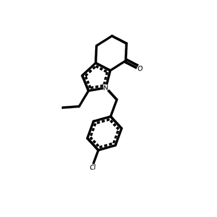 CCc1cc2c(n1Cc1ccc(Cl)cc1)C(=O)CCC2